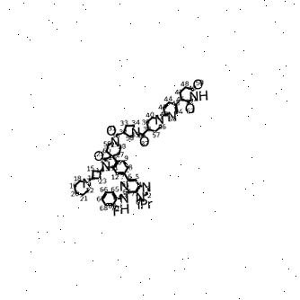 CC(C)n1cnc2cc(-c3ccc4c(c3)N(C3CC(N5CCCCC5)C3)C(=O)C43CCN(C(=O)[C@H]4CCN(C(=O)C5CCN(c6ccc([C@H]7CCC(=O)NC7=O)cn6)CC5)C4)CC3)nc(Nc3ccccc3F)c21